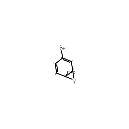 O=CC12C=CC(O)=CC1O2